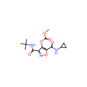 COC(=O)Oc1c(C(=O)NC(C)(C)C)noc1C(=O)NC1CC1